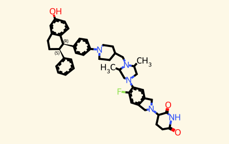 CC1CN(c2cc3c(cc2F)CN(C2CCC(=O)NC2=O)C3)CC(C)N1CC1CCN(c2ccc([C@@H]3c4ccc(O)cc4CC[C@@H]3c3ccccc3)cc2)CC1